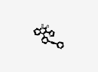 O=c1[nH]c2ccccc2c(-c2cccc(C#Cc3ccccc3)c2)c1-c1cccs1